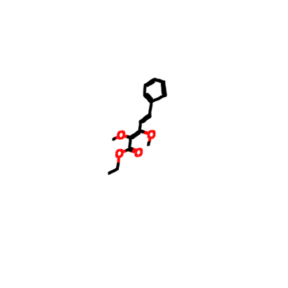 CCOC(=O)C(OC)=C(C=Cc1ccccc1)OC